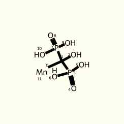 CC(O)(P(=O)(O)O)P(=O)(O)O.[Mn]